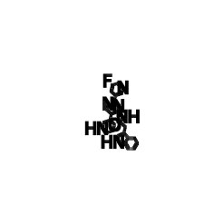 Fc1cncc(-c2ncc(C3CNCCO3)c(NCCc3c[nH]c4ccccc34)n2)c1